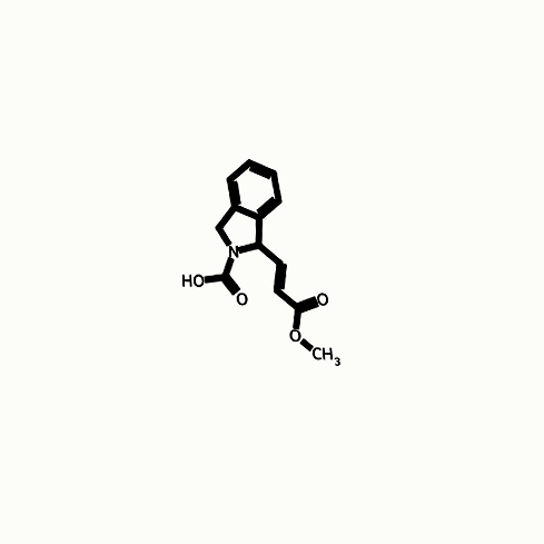 COC(=O)C=CC1c2ccccc2CN1C(=O)O